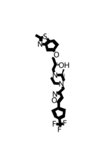 Cc1nc2cc(OC[C@H](O)CN3CCN(Cc4cc(-c5ccc(C(F)(F)F)cc5)on4)C[C@@H]3C)ccc2s1